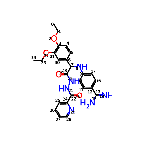 CCOc1ccc(C(Nc2ccc(C(=N)N)cc2)C(=O)NNC(=O)c2ccccn2)cc1OCC